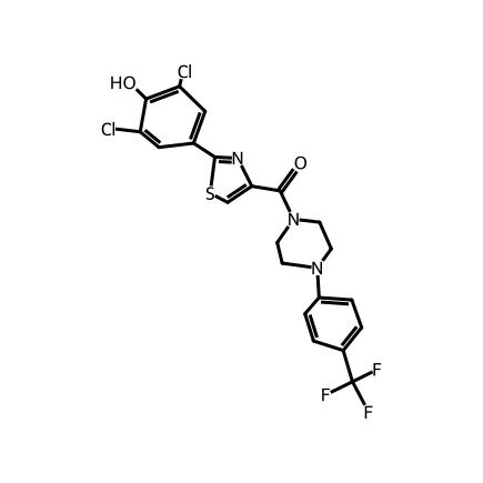 O=C(c1csc(-c2cc(Cl)c(O)c(Cl)c2)n1)N1CCN(c2ccc(C(F)(F)F)cc2)CC1